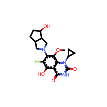 COc1c(N2CC3CCC(O)C3C2)c(F)c(O)c2c(=O)[nH]c(=O)n(C3CC3)c12